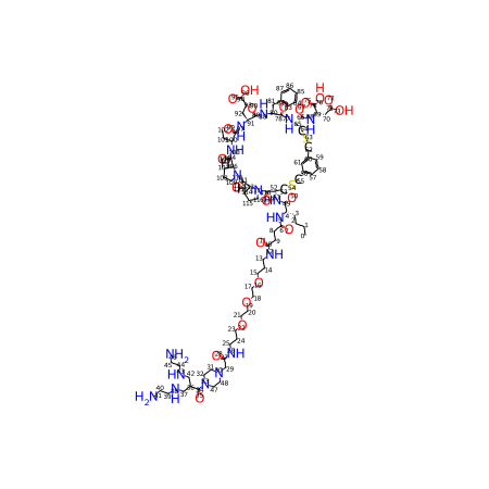 CCCC[C@H](NC(=O)CCC(=O)NCCCOCCOCCOCCCNC(=O)CN1CCN(C(=O)C(CNCCN)CNCCN)CC1)C(=O)N[C@H]1CSCc2cccc(c2)CSC[C@@H](C(=O)N[C@@H](CC(=O)O)C(=O)O)NC(=O)[C@H](Cc2ccccc2)NC(=O)[C@H](CCC(=O)O)NC(=O)[C@H](CC)NC(=O)[C@@H]2CCCN2C(=O)[C@@H]2CCCN2C1=O